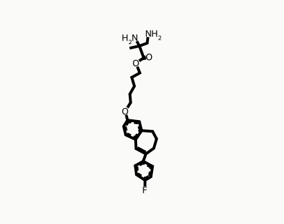 CC(N)(CN)C(=O)OCCCCCOc1ccc2c(c1)CCCC(c1ccc(F)cc1)=C2